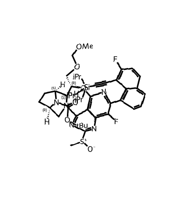 COCOC[C@@H]1Oc2nc(-c3cccc4ccc(F)c(C#C[Si](C(C)C)(C(C)C)C(C)C)c34)c(F)c3nc([S+](C)[O-])nc(c23)N2C[C@H]3CC[C@@H]([C@@H]12)N3C(=O)OC(C)(C)C